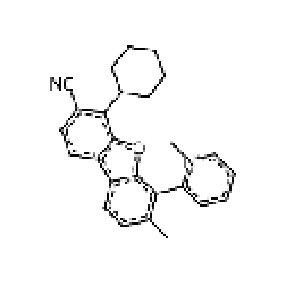 Cc1ccc2c(oc3c(C4CCCCC4)c(C#N)ccc32)c1-c1cccc[n+]1C